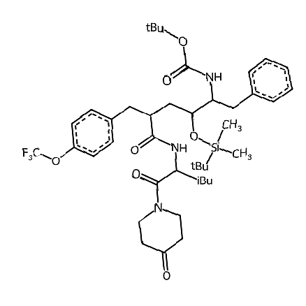 CCC(C)C(NC(=O)C(Cc1ccc(OC(F)(F)F)cc1)CC(O[Si](C)(C)C(C)(C)C)C(Cc1ccccc1)NC(=O)OC(C)(C)C)C(=O)N1CCC(=O)CC1